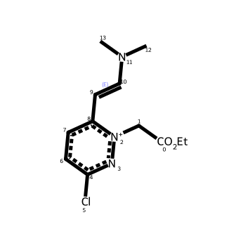 CCOC(=O)C[n+]1nc(Cl)ccc1/C=C/N(C)C